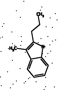 CCCC1=C(C)c2ccccc2[N]1